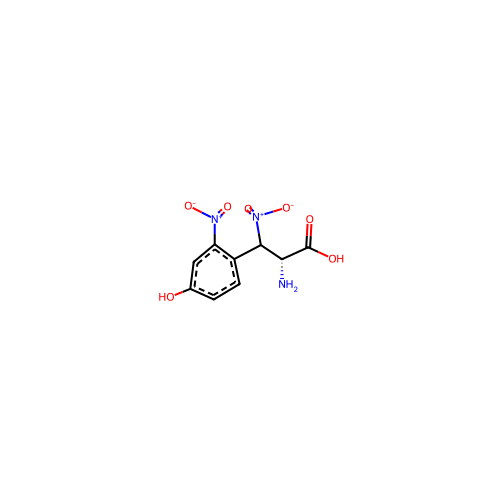 N[C@@H](C(=O)O)C(c1ccc(O)cc1[N+](=O)[O-])[N+](=O)[O-]